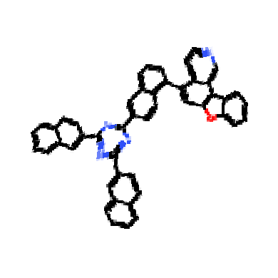 c1ccc2cc(-c3nc(-c4ccc5ccccc5c4)nc(-c4ccc5c(-c6cc7oc8ccccc8c7c7cnccc67)cccc5c4)n3)ccc2c1